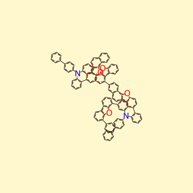 c1ccc(-c2ccc(N(c3cccc(-c4cccc5c4oc4c(-c6ccccc6)cccc45)c3)c3ccccc3-c3ccc4oc5c6ccc(-c7ccc(-c8cccc(N(c9ccc(-c%10ccccc%10)cc9)c9ccccc9-c9ccc%10oc%11c%12ccccc%12ccc%11c%10c9)c8)c8oc9ccccc9c78)cc6ccc5c4c3)cc2)cc1